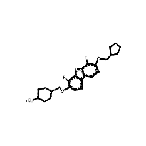 CCCCC1CCC(COc2ccc3c(oc4c(F)c(OCC5CCCC5)ccc43)c2F)CC1